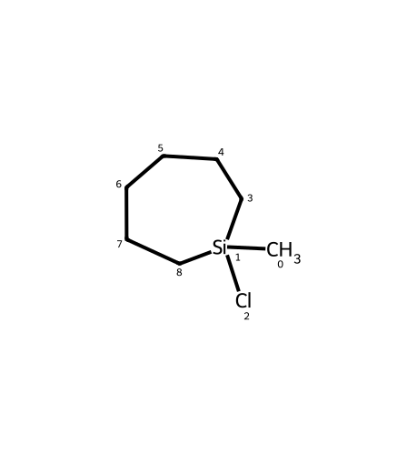 C[Si]1(Cl)CCCCCC1